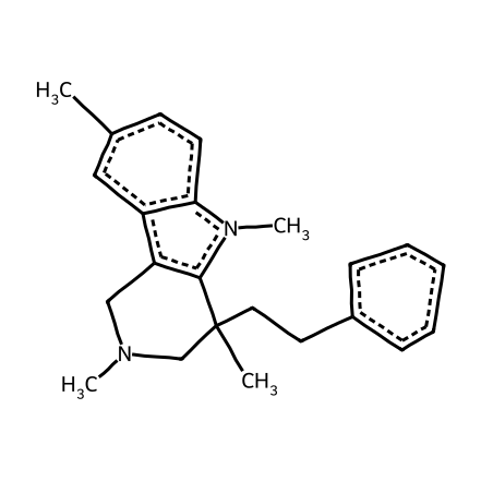 Cc1ccc2c(c1)c1c(n2C)C(C)(CCc2ccccc2)CN(C)C1